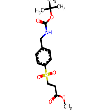 COC(=O)CCS(=O)(=O)c1ccc(CNC(=O)OC(C)(C)C)cc1